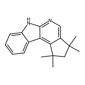 CC1(C)CC(C)(C)c2c1cnc1[nH]c3ccccc3c21